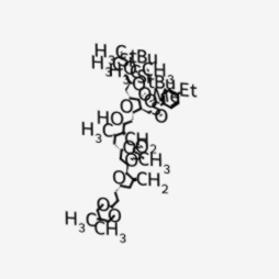 C=C([C@H](C)C[C@@H](CC[C@@H]1O[C@@H](CCC2OCC(C)(C)CO2)CC1=C)OS(C)(=O)=O)[C@H](O)C[C@@H]1O[C@H](C[C@@H](CO[Si](C)(C)C(C)(C)C)O[Si](C)(C)C(C)(C)C)[C@H](OC)[C@H]1CS(=O)(=O)c1ccc(CC)cc1